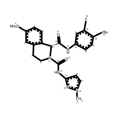 COc1ccc2c(c1)CCN(C(=O)Nc1ccn(C)n1)[C@H]2C(=O)Nc1ccc(C(C)(C)C)c(F)c1